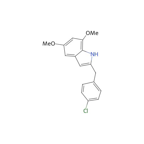 COc1cc(OC)c2[nH]c(Cc3ccc(Cl)cc3)cc2c1